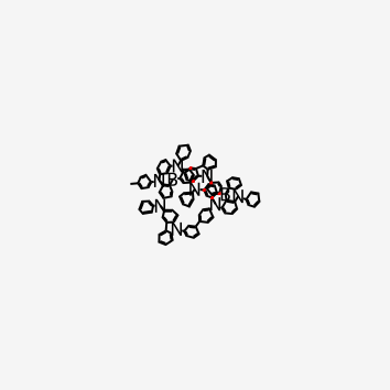 Cc1ccc(N2c3cc(N(c4ccccc4)c4ccc5c(c4)c4ccccc4n5-c4cccc(-c5ccc(N6c7cc(N(c8ccccc8)c8cccc9c%10ccccc%10n(-c%10ccccc%10)c89)ccc7B7c8ccccc8N(c8ccccc8)c8cccc6c87)cc5)c4)ccc3B3c4ccccc4N(c4ccccc4)c4cccc2c43)cc1